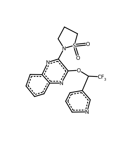 O=S1(=O)CCCN1c1nc2ccccc2nc1OC(c1cccnc1)C(F)(F)F